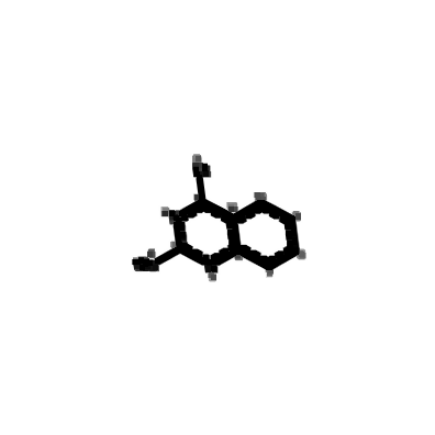 CCc1nc(C(C)(C)C)nc2ccccc12